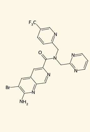 Nc1nc2cnc(C(=O)N(Cc3ccc(C(F)(F)F)cn3)Cc3ncccn3)cc2cc1Br